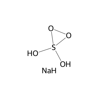 OS1(O)OO1.[NaH]